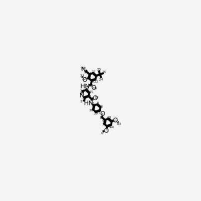 COc1cc(COc2ccc(NC(=O)c3cc(NC(=O)c4cc(C(C)(C)C)cc(C#N)c4OC)cnc3C)cc2)cc(OC)c1